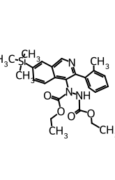 CCOC(=O)NN(C(=O)OCC)c1c(-c2ccccc2C)ncc2cc([Si](C)(C)C)ccc12